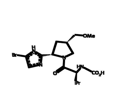 COC[C@H]1C[C@@H](c2ncc(Br)[nH]2)N(C(=O)[C@@H](NC(=O)O)C(C)C)C1